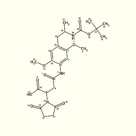 COc1cc(NC(=O)CC(C(=O)O)N2C(=O)CCC2=O)c(OC)cc1CC(C)NC(=O)OC(C)(C)C